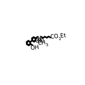 CCOC(=O)CCCCCCN(Cc1ccc(-c2ccccc2CO)cc1)S(C)(=O)=O